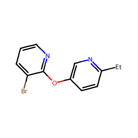 CCc1ccc(Oc2ncccc2Br)cn1